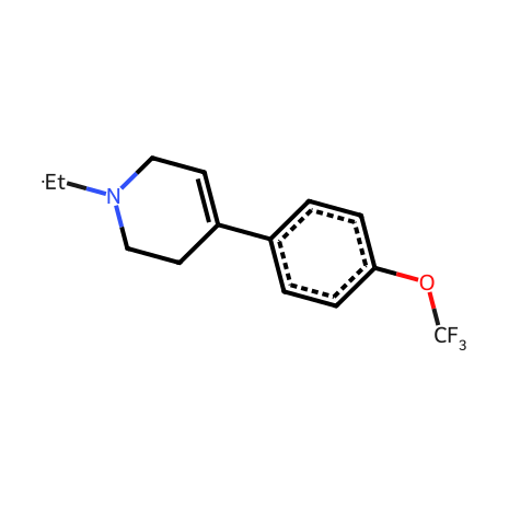 C[CH]N1CC=C(c2ccc(OC(F)(F)F)cc2)CC1